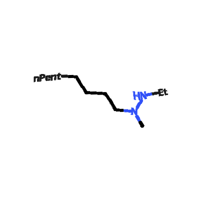 CCCCCCCCCN(C)NCC